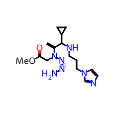 C=C(C(NCCCn1ccnc1)C1CC1)N(CC(=O)OC)/N=N\N